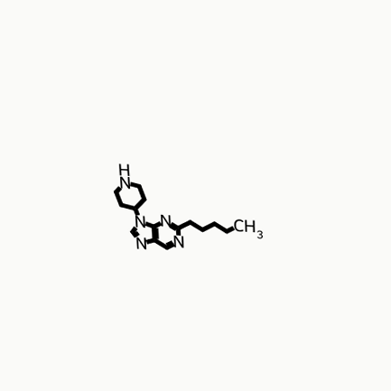 CCCCCc1ncc2ncn(C3CCNCC3)c2n1